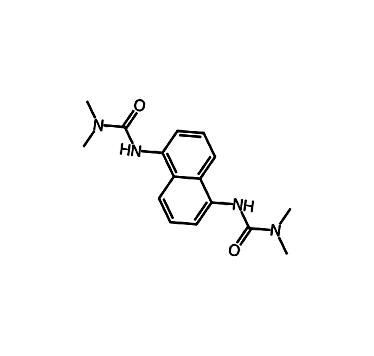 CN(C)C(=O)Nc1cccc2c(NC(=O)N(C)C)cccc12